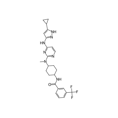 CN(c1nccc(Nc2cc(C3CC3)[nH]n2)n1)C1CCC(NC(=O)c2cccc(C(F)(F)F)c2)CC1